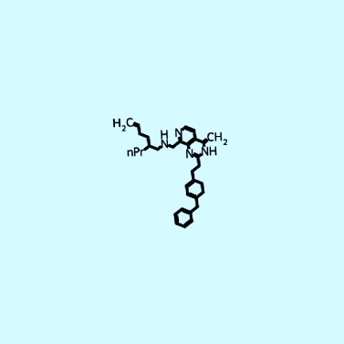 C=CCCC(CCC)CNCc1nccc2c1N=C(CCC1=CC=C(Cc3ccccc3)CC1)NC2=C